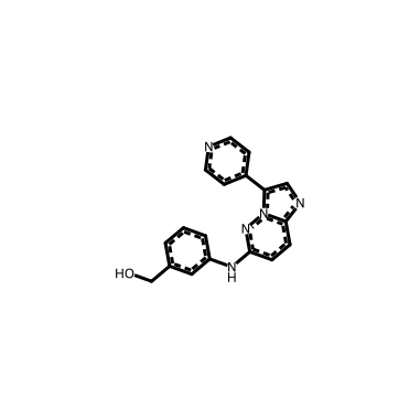 OCc1cccc(Nc2ccc3ncc(-c4ccncc4)n3n2)c1